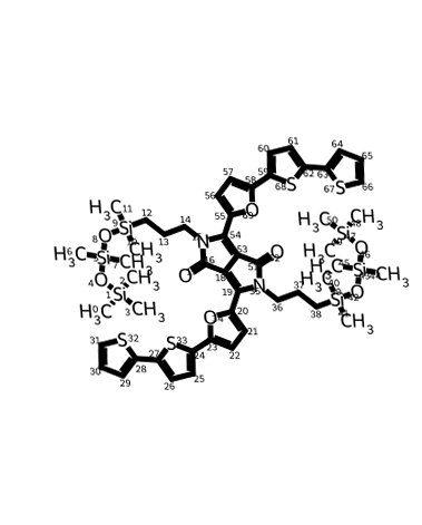 C[Si](C)(C)O[Si](C)(C)O[Si](C)(C)CCCN1C(=O)C2=C(c3ccc(-c4ccc(-c5cccs5)s4)o3)N(CCC[Si](C)(C)O[Si](C)(C)O[Si](C)(C)C)C(=O)C2=C1c1ccc(-c2ccc(-c3cccs3)s2)o1